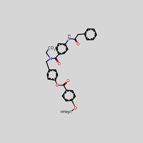 CCCCCCCOc1ccc(C(=O)Oc2ccc(CN(CC(=O)O)C(=O)c3ccc(NC(=O)Cc4ccccc4)cc3)cc2)cc1